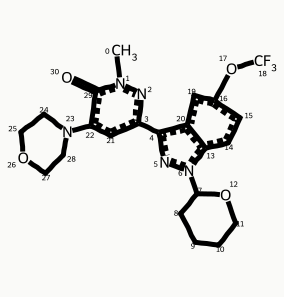 Cn1nc(-c2nn(C3CCCCO3)c3ccc(OC(F)(F)F)cc23)cc(N2CCOCC2)c1=O